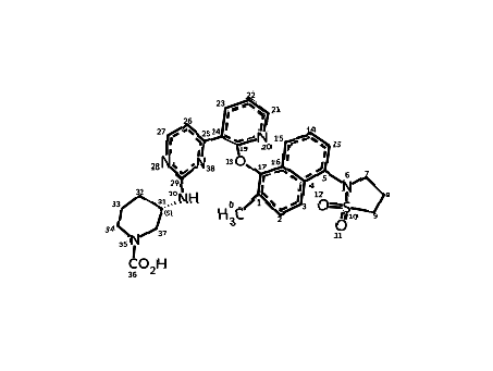 Cc1ccc2c(N3CCCS3(=O)=O)cccc2c1Oc1ncccc1-c1ccnc(N[C@H]2CCCN(C(=O)O)C2)n1